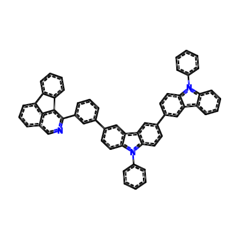 c1ccc(-n2c3ccccc3c3cc(-c4ccc5c(c4)c4cc(-c6cccc(-c7ncc8cccc9c8c7-c7ccccc7-9)c6)ccc4n5-c4ccccc4)ccc32)cc1